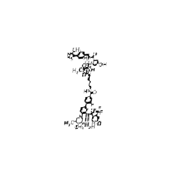 Cc1ncsc1-c1ccc(CNC(=O)[C@@H]2C[C@@H](O)CN2C(=O)[C@@H](NC(=O)CCCCCNC(=O)c2ccc(-c3ccc(N4C[C@@H](C)N(C)[C@@H](C)C4)c(NC(=O)c4c[nH]c(=O)cc4C(F)(F)F)c3)c(F)c2)C(C)(C)C)cc1